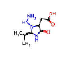 CC(C)=C1NC(=O)C(CC(=O)O)N1NN